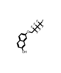 Oc1ccc2ccc(OCC(F)(F)C(F)(F)C(F)(F)F)cc2c1